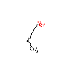 CC=CCC1=C(CCCCCCCCCC(=O)O)C1